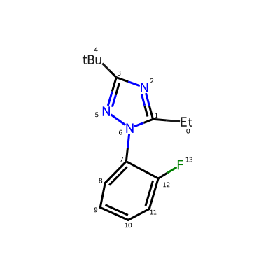 CCc1nc(C(C)(C)C)nn1-c1ccccc1F